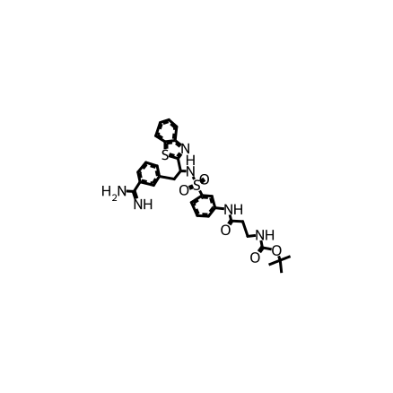 CC(C)(C)OC(=O)NCCC(=O)Nc1cccc(S(=O)(=O)NC(Cc2cccc(C(=N)N)c2)c2nc3ccccc3s2)c1